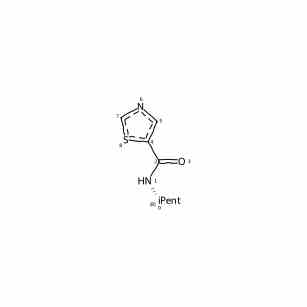 CCC[C@@H](C)NC(=O)c1cncs1